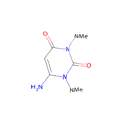 CNn1c(N)cc(=O)n(NC)c1=O